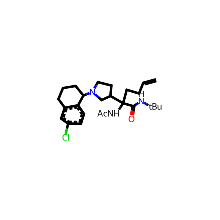 C=CCCC(NC(C)=O)(C(=O)NC(C)(C)C)C1CCN(C2CCCc3cc(Cl)ccc32)C1